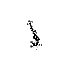 O=C(CCCCCCn1cc(-c2ccc3cc(O[C@@H]4O[C@H](CO)[C@@H](O)[C@H](O)[C@H]4O)ccc3c2)nn1)NO